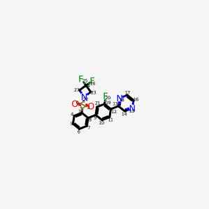 O=S(=O)(c1ccccc1-c1ccc(-c2cnccn2)c(F)c1)N1CC(F)(F)C1